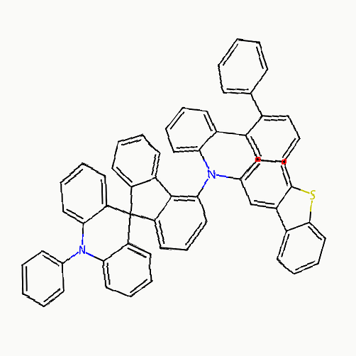 c1ccc(-c2ccccc2-c2ccccc2N(c2ccc3sc4ccccc4c3c2)c2cccc3c2-c2ccccc2C32c3ccccc3N(c3ccccc3)c3ccccc32)cc1